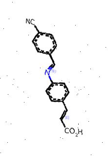 N#Cc1ccc(/C=N/c2ccc(/C=C/C(=O)O)cc2)cc1